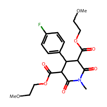 COCCOC(=O)C1C(=O)N(C)C(=O)C(C(=O)OCCOC)C1c1ccc(F)cc1